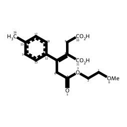 COCCOC(=O)CC(=C(CC(=O)O)C(=O)O)c1ccc(C)cc1